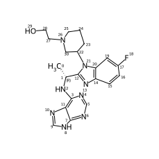 C[C@@H](Nc1ncnc2[nH]cnc12)c1nc2ccc(F)cc2n1C1CCCN(CCO)C1